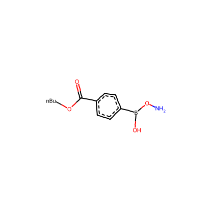 CCCCOC(=O)c1ccc(B(O)ON)cc1